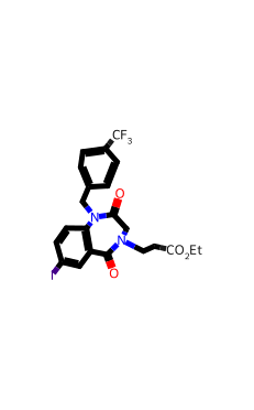 CCOC(=O)CCN1CC(=O)N(Cc2ccc(C(F)(F)F)cc2)c2ccc(I)cc2C1=O